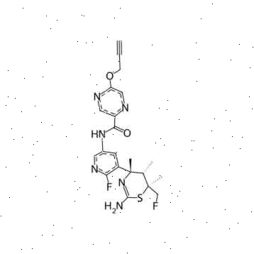 C#CCOc1cnc(C(=O)Nc2cnc(F)c([C@@]3(C)N=C(N)S[C@](C)(CF)[C@H]3C)c2)cn1